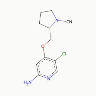 N#CN1CCC[C@H]1COc1cc(N)ncc1Cl